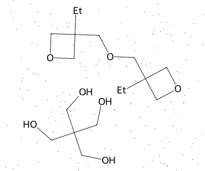 CCC1(COCC2(CC)COC2)COC1.OCC(CO)(CO)CO